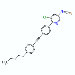 CCCCCc1ccc(C#Cc2ccc(-c3ncc(N=C=S)cc3Cl)cc2)cc1